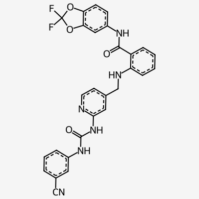 N#Cc1cccc(NC(=O)Nc2cc(CNc3ccccc3C(=O)Nc3ccc4c(c3)OC(F)(F)O4)ccn2)c1